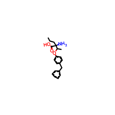 CCCC(N)(C(=O)O)C(C)Oc1ccc(Cc2ccccc2)cc1